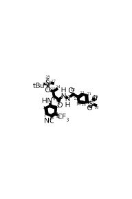 [C-]#[N+]c1ccc(N[C@@H](C(=O)NNC(=O)c2ccc(S(C)(=O)=O)cc2)C(C)O[Si](C)(C)C(C)(C)C)cc1C(F)(F)F